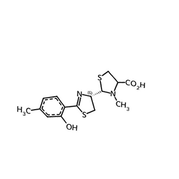 Cc1ccc(C2=N[C@H](C3SCC(C(=O)O)N3C)CS2)c(O)c1